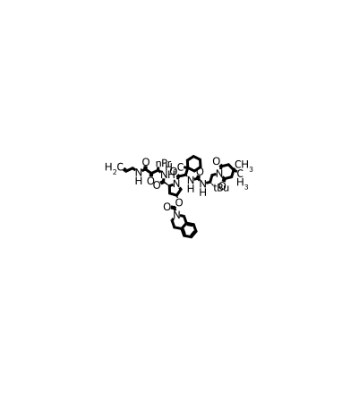 C=CCNC(=O)C(=O)C(CCC)NC(=O)[C@@H]1C[C@@H](OC(=O)N2CCc3ccccc3C2)CN1C(=O)[C@@H](NC(=O)N[C@H](CN1C(=O)CC(C)(C)CC1=O)C(C)(C)C)C1(C)CCCCC1